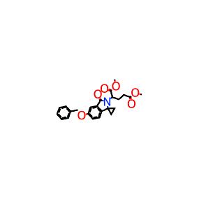 COC(=O)CCC(C(=O)OC)N1C(=O)c2cc(OCc3ccccc3)ccc2C12CC2